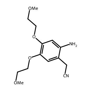 COCCOc1cc(N)c(CC#N)cc1OCCOC